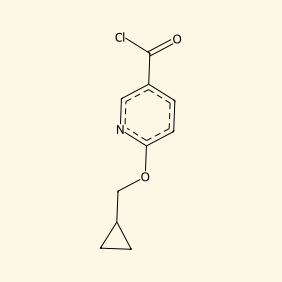 O=C(Cl)c1ccc(OCC2CC2)nc1